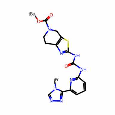 CC(C)n1cnnc1-c1cccc(NC(=O)Nc2nc3c(s2)CN(C(=O)OC(C)(C)C)CC3)n1